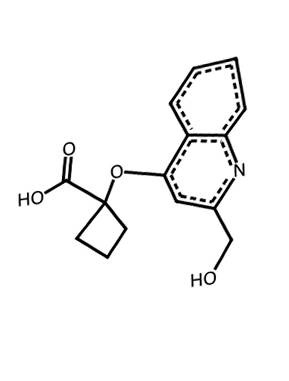 O=C(O)C1(Oc2cc(CO)nc3ccccc23)CCC1